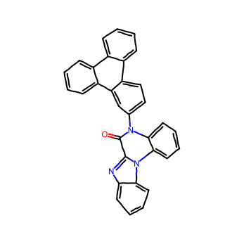 O=c1c2nc3ccccc3n2c2ccccc2n1-c1ccc2c3ccccc3c3ccccc3c2c1